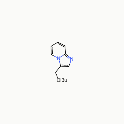 CC(C)COCc1cnc2ccccn12